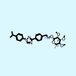 CO[C@@H]1[C@@H](OC)[C@H](C)O[C@@H](O/N=C/c2ccc(-c3ncn(-c4ccc(C(C)C)cc4)n3)cc2)[C@@H]1OC